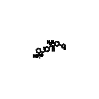 CP(=O)(O)c1ccccc1Cc1ccc(C(=O)Nc2cc(-c3ccsc3)ccc2N)cn1